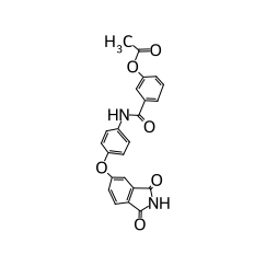 CC(=O)Oc1cccc(C(=O)Nc2ccc(Oc3ccc4c(c3)C(=O)NC4=O)cc2)c1